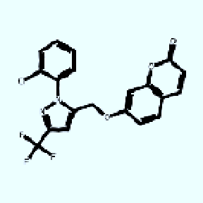 O=c1ccc2ccc(OCc3cc(C(F)(F)F)nn3-c3ccccc3Cl)cc2o1